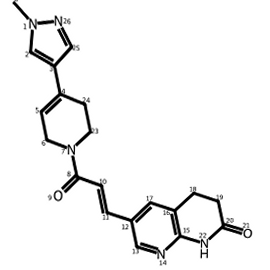 Cn1cc(C2=CCN(C(=O)C=Cc3cnc4c(c3)CCC(=O)N4)CC2)cn1